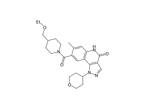 CCOCC1CCN(C(=O)c2cc3c(cc2C)[nH]c(=O)c2cnn(C4CCOCC4)c23)CC1